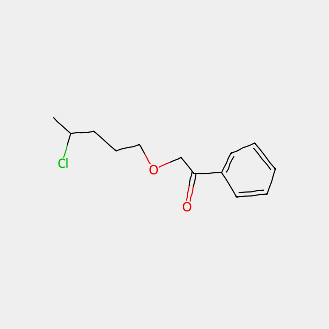 CC(Cl)CCCOCC(=O)c1ccccc1